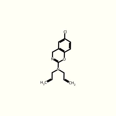 C=CCN(CC=C)C1=NCc2cc(Cl)ccc2O1